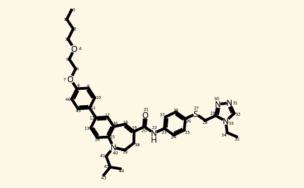 CCCCOCCOc1ccc(-c2ccc3c(c2)C=C(C(=O)Nc2ccc(SCc4nncn4CC)cc2)CCN3CC(C)C)cc1